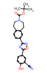 CC(C)(C)OC(=O)N1CCc2ccc(-c3noc(-c4ccc(O)c(C#N)c4)n3)cc2CC1